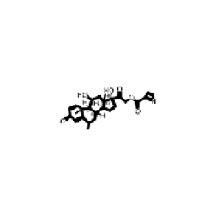 CC1C[C@@H]2[C@H](C(O)C[C@@]3(C)[C@H]2CC[C@]3(O)C(=O)COC(=O)C2=NC=C2)[C@@]2(C)C=CC(=O)C=C12